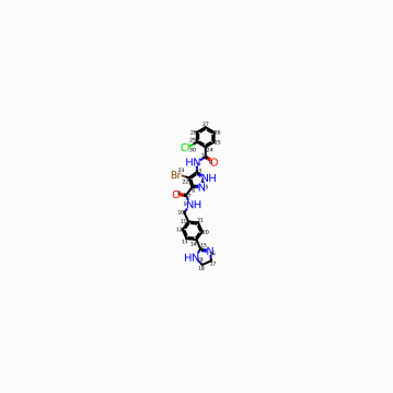 O=C(Nc1[nH]nc(C(=O)NCc2ccc(C3=NCCN3)cc2)c1Br)c1ccccc1Cl